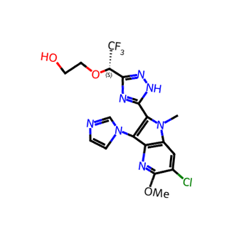 COc1nc2c(-n3ccnc3)c(-c3nc([C@H](OCCO)C(F)(F)F)n[nH]3)n(C)c2cc1Cl